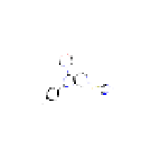 Cn1cc(S(=O)(=O)N2CCc3c(nc(-c4ccc([N+](=O)[O-])cc4)nc3N3CCOCC3)C2)cn1